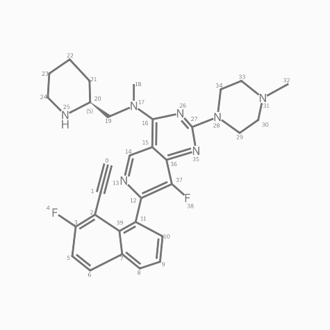 C#Cc1c(F)ccc2cccc(-c3ncc4c(N(C)C[C@@H]5CCCCN5)nc(N5CCN(C)CC5)nc4c3F)c12